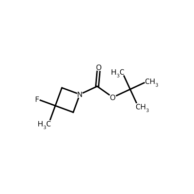 CC1(F)CN(C(=O)OC(C)(C)C)C1